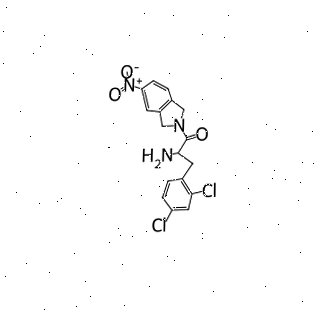 NC(Cc1ccc(Cl)cc1Cl)C(=O)N1Cc2ccc([N+](=O)[O-])cc2C1